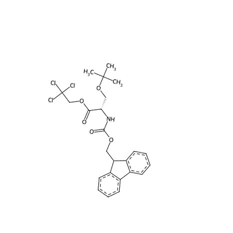 CC(C)(C)OC[C@H](NC(=O)OCC1c2ccccc2-c2ccccc21)C(=O)OCC(Cl)(Cl)Cl